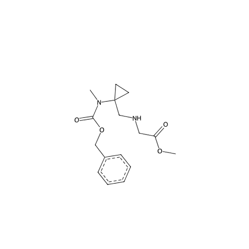 COC(=O)CNCC1(N(C)C(=O)OCc2ccccc2)CC1